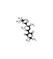 CC(CC(=O)C1C(=O)OC(C)(C)OC1=O)N(C)C(=O)OC(C)(C)C